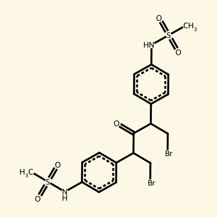 CS(=O)(=O)Nc1ccc(C(CBr)C(=O)C(CBr)c2ccc(NS(C)(=O)=O)cc2)cc1